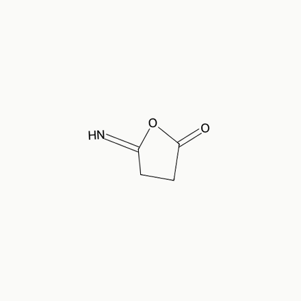 N=C1CCC(=O)O1